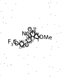 COc1ccc2c(N3CCC(Oc4ccc(OC(F)(F)F)cc4)CC3)c(C#N)c(=O)n(C)c2c1